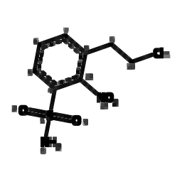 NS(=O)(=O)c1cccc(CCCl)c1[N+](=O)[O-]